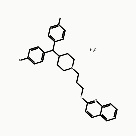 Fc1ccc(C(c2ccc(F)cc2)C2CCN(CCCOc3ccc4ccccc4n3)CC2)cc1.O